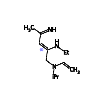 C=CN(C/C(=C/C(C)=N)NCC)C(C)C